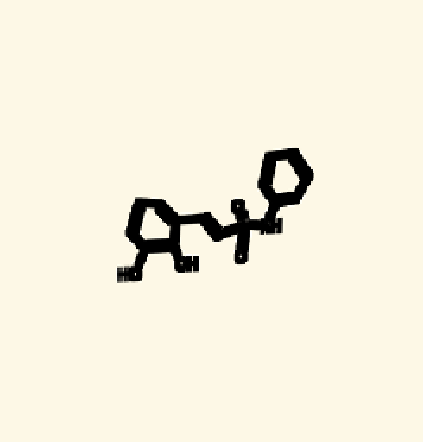 O=S(=O)(C=Cc1cccc(O)c1O)Nc1ccccc1